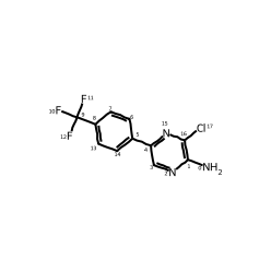 Nc1ncc(-c2ccc(C(F)(F)F)cc2)nc1Cl